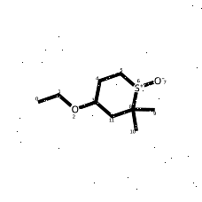 CCOC1CC[S+]([O-])C(C)(C)C1